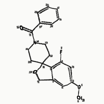 COc1cc(F)c2c(c1)COC21CCN(C(=O)c2ccccc2)CC1